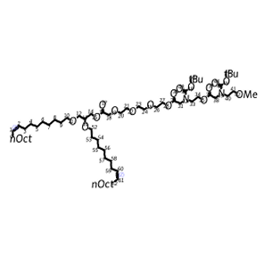 CCCCCCCC/C=C\CCCCCCCCOCC(COC(=O)COCCOCCOCCOC(=O)CN(CCOC(=O)CN(CCOC)C(=O)OC(C)(C)C)C(=O)OC(C)(C)C)OCCCCCCCC/C=C\CCCCCCCC